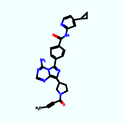 CC#CC(=O)N1CCC(c2nc(-c3ccc(C(=O)Nc4cc(C5CC5)ccn4)cc3)n3c(N)ncnc23)C1